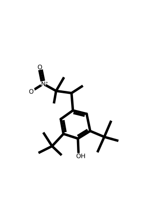 CC(c1cc(C(C)(C)C)c(O)c(C(C)(C)C)c1)C(C)(C)[N+](=O)[O-]